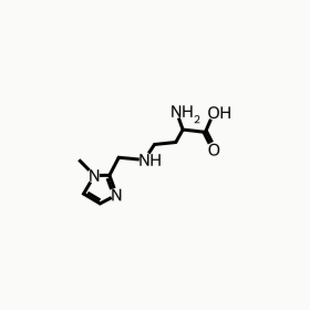 Cn1ccnc1CNCCC(N)C(=O)O